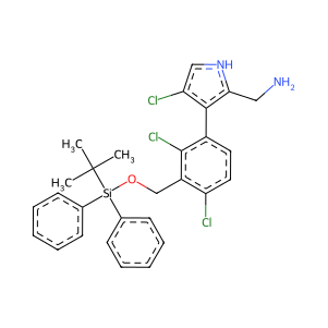 CC(C)(C)[Si](OCc1c(Cl)ccc(-c2c(Cl)c[nH]c2CN)c1Cl)(c1ccccc1)c1ccccc1